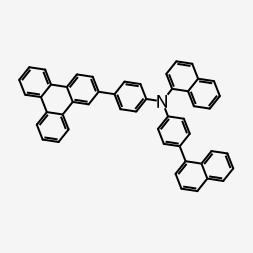 c1ccc2c(-c3ccc(N(c4ccc(-c5ccc6c7ccccc7c7ccccc7c6c5)cc4)c4cccc5ccccc45)cc3)cccc2c1